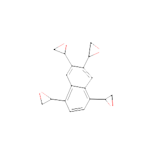 c1cc(C2CO2)c2cc(C3CO3)c(C3CO3)cc2c1C1CO1